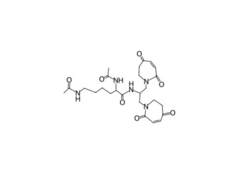 CC(=O)NCCCCC(NC(C)=O)C(=O)NC(CN1CCC(=O)C=CC1=O)CN1CCC(=O)C=CC1=O